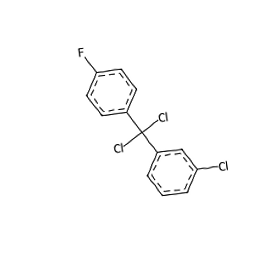 Fc1ccc(C(Cl)(Cl)c2cccc(Cl)c2)cc1